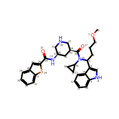 COCCCC(c1c[nH]c2ccccc12)N(C(=O)[C@@H]1CNC[C@H](NC(=O)c2cc3ccccc3s2)C1)C1CC1